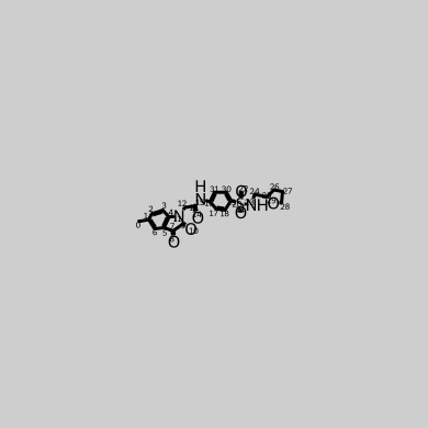 Cc1ccc2c(c1)C(=O)C(=O)N2CC(=O)Nc1ccc(S(=O)(=O)NCC2CCCO2)cc1